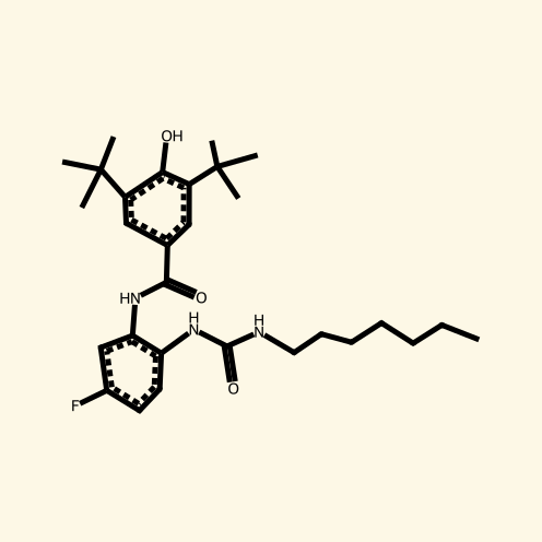 CCCCCCCNC(=O)Nc1ccc(F)cc1NC(=O)c1cc(C(C)(C)C)c(O)c(C(C)(C)C)c1